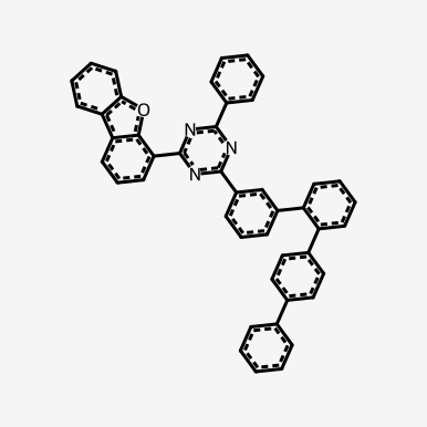 c1ccc(-c2ccc(-c3ccccc3-c3cccc(-c4nc(-c5ccccc5)nc(-c5cccc6c5oc5ccccc56)n4)c3)cc2)cc1